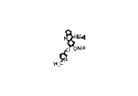 COc1cc2c(NCC3CC3)c3c(nc2cc1OCc1ccc(C)nc1)CCC3